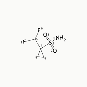 NS(=O)(=O)C1(C(F)F)CC1